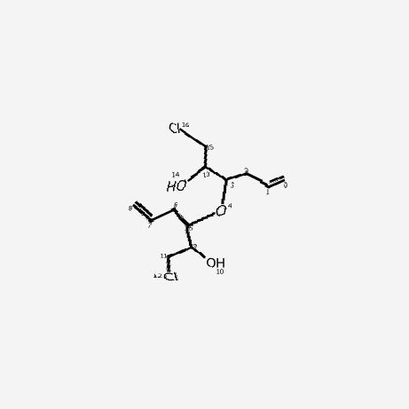 C=CCC(OC(CC=C)C(O)CCl)C(O)CCl